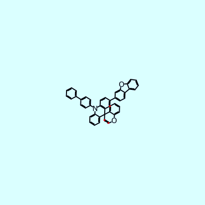 c1ccc(-c2ccc(N3c4ccccc4C4(c5ccccc5Oc5ccccc54)c4cc(-c5ccc6c(c5)oc5ccccc56)ccc43)cc2)cc1